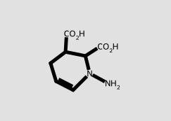 NN1C=CCC(C(=O)O)C1C(=O)O